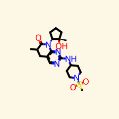 CC1Cc2cnc(NC3CCN(S(C)(=O)=O)CC3)nc2N([C@H]2CCC[C@]2(C)O)C1=O